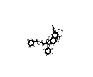 C[C@@H]1C(O)=C(C#N)C[C@]2(C)c3nc(CCOCc4ccccc4)n(-c4ccccc4)c3CC[C@@H]12